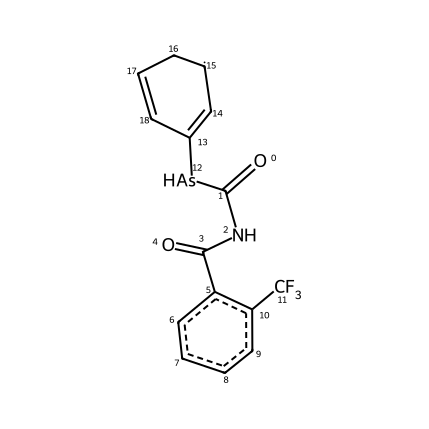 O=C(NC(=O)c1ccccc1C(F)(F)F)[AsH]C1=C[CH]CC=C1